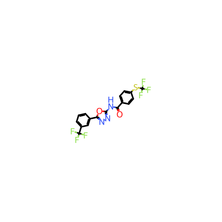 O=C(Nc1nnc(-c2cccc(C(F)(F)F)c2)o1)c1ccc(SC(F)(F)F)cc1